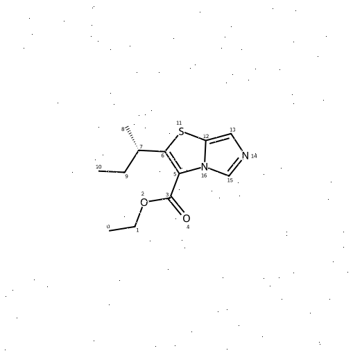 CCOC(=O)c1c([C@@H](C)CC)sc2cncn12